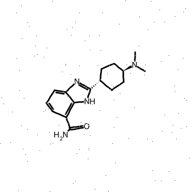 CN(C)[C@H]1CC[C@H](c2nc3cccc(C(N)=O)c3[nH]2)CC1